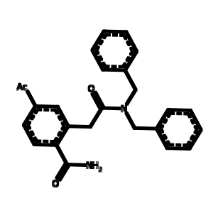 CC(=O)c1ccc(C(N)=O)c(CC(=O)N(Cc2ccccc2)Cc2ccccc2)c1